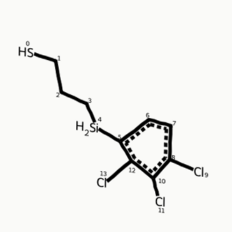 SCCC[SiH2]c1ccc(Cl)c(Cl)c1Cl